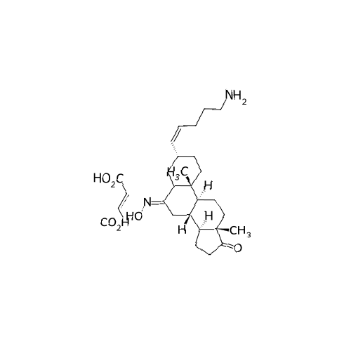 C[C@]12CC[C@@H](/C=C\CCCN)CC1/C(=N/O)C[C@@H]1[C@@H]2CC[C@]2(C)C(=O)CC[C@@H]12.O=C(O)/C=C/C(=O)O